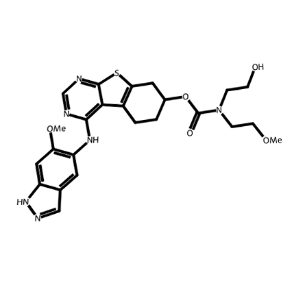 COCCN(CCO)C(=O)OC1CCc2c(sc3ncnc(Nc4cc5cn[nH]c5cc4OC)c23)C1